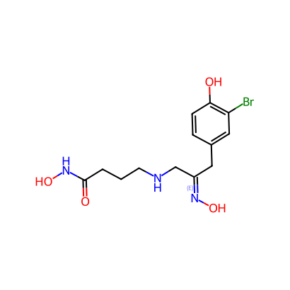 O=C(CCCNC/C(Cc1ccc(O)c(Br)c1)=N/O)NO